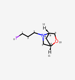 ICCCN1C[C@@H]2C[C@H]1CO2